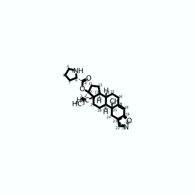 C#C[C@]1(OC(=O)[C@@H]2CCCN2)CC[C@H]2[C@@H]3CCC4=Cc5oncc5C[C@]4(C)[C@H]3CC[C@@]21C